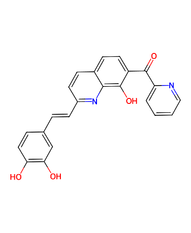 O=C(c1ccccn1)c1ccc2ccc(C=Cc3ccc(O)c(O)c3)nc2c1O